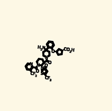 CCC[C@H]1N(C(=O)c2ncccc2C(F)(F)F)CCC[C@@]1(Oc1csc(C(F)(F)F)c1)C(=O)N1CCC(N)(c2ccccc2O[C@@H]2CC[C@@H](C(=O)O)C2)CC1